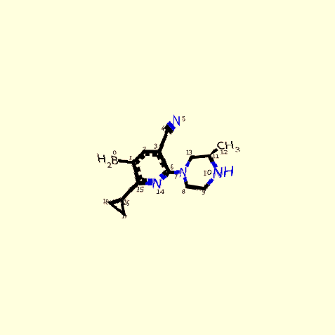 Bc1cc(C#N)c(N2CCN[C@H](C)C2)nc1C1CC1